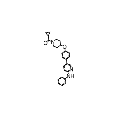 O=C(C1CC1)N1CCC(Oc2ccc(-c3ccc(Nc4ccccc4)nc3)cc2)CC1